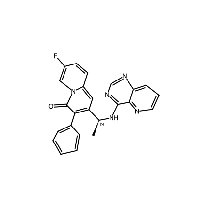 C[C@H](Nc1ncnc2cccnc12)c1cc2ccc(F)cn2c(=O)c1-c1ccccc1